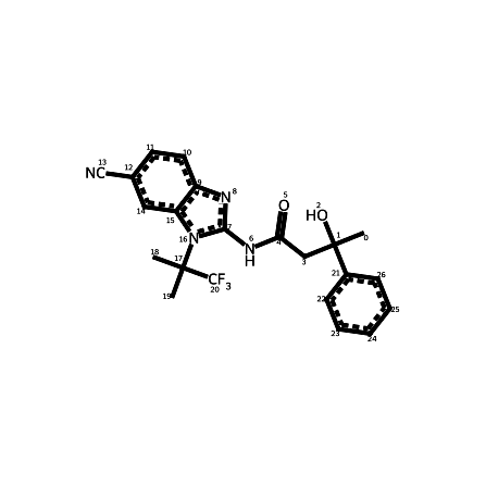 CC(O)(CC(=O)Nc1nc2ccc(C#N)cc2n1C(C)(C)C(F)(F)F)c1ccccc1